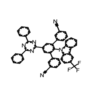 N#Cc1cccc(-c2cc(-c3nc(-c4ccccc4)nc(-c4ccccc4)n3)cc(-c3cccc(C#N)c3)c2-n2c3ccccc3c3cc(C(F)(F)F)ccc32)c1